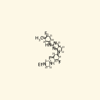 CCN1CCN(Cc2c(F)cc(-n3ccc4cnc(Nc5ccc(F)c(C)c5)nc43)cc2F)CC1